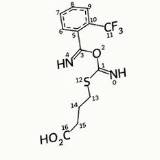 N=C(OC(=N)c1ccccc1C(F)(F)F)SCCCC(=O)O